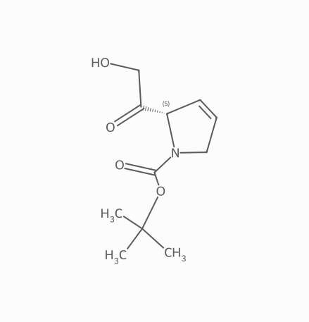 CC(C)(C)OC(=O)N1CC=C[C@H]1C(=O)CO